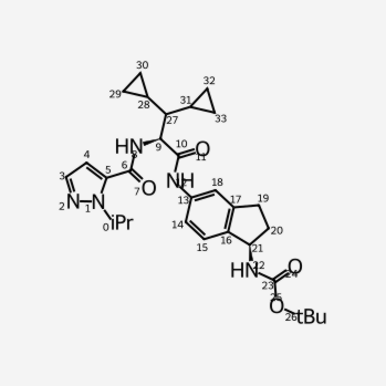 CC(C)n1nccc1C(=O)N[C@H](C(=O)Nc1ccc2c(c1)CC[C@H]2NC(=O)OC(C)(C)C)C(C1CC1)C1CC1